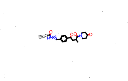 CC(C)COC(=O)NN=Cc1ccc(C(=O)CC(C)C(=O)N2CCC([O])CC2)cc1